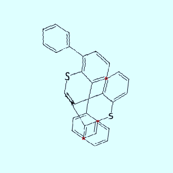 c1ccc(-c2cccc3c2Sc2cccc(-c4ccccc4)c2C32c3ccccc3Sc3ccccc32)cc1